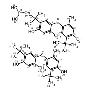 Cc1cc(O)c(C(C)(C)C)cc1Sc1cc(C(C)(C)C)c(O)cc1C.Cc1cc(O)c(C(C)(C)C)cc1Sc1cc(C(C)(C)C)c(O)cc1C.OP(O)O